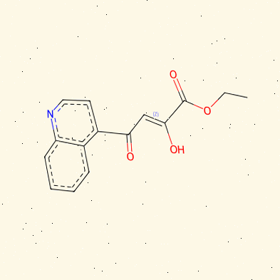 CCOC(=O)/C(O)=C/C(=O)c1ccnc2ccccc12